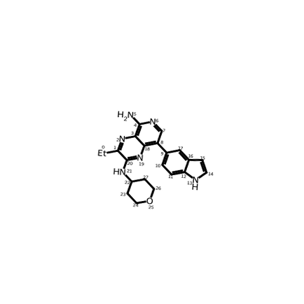 CCc1nc2c(N)ncc(-c3ccc4[nH]ccc4c3)c2nc1NC1CCOCC1